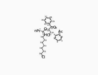 CC(=O)c1ccccc1.CCCC(CCCCCCCCCl)OC(CO)C(=O)c1ccccc1